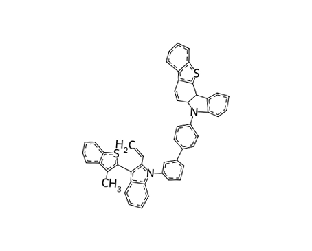 C=Cc1c(-c2sc3ccccc3c2C)c2ccccc2n1-c1cccc(-c2ccc(N3c4ccccc4C4c5sc6ccccc6c5C=CC43)cc2)c1